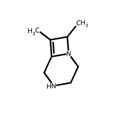 CC1=C2CNCCN2C1C